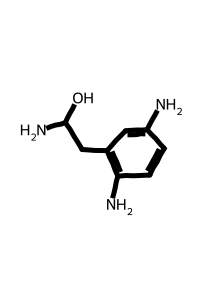 Nc1ccc(N)c(CC(N)O)c1